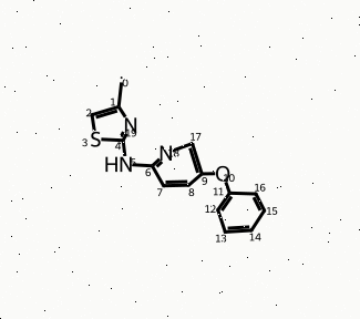 [CH2]c1csc(Nc2ccc(Oc3ccccc3)cn2)n1